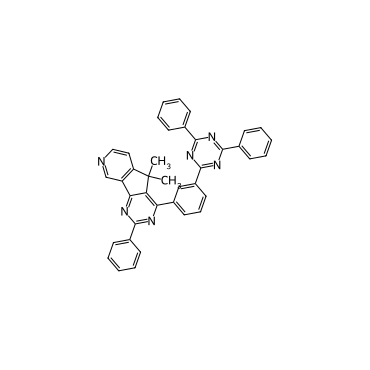 CC1(C)c2ccncc2-c2nc(-c3ccccc3)nc(-c3cccc(-c4nc(-c5ccccc5)nc(-c5ccccc5)n4)c3)c21